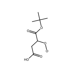 CC(C)(C)OC(=O)C(CC(=O)O)O[O]